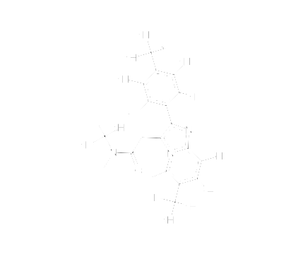 [2H]c1c([2H])c(C([2H])([2H])[2H])c([2H])c([2H])c1-c1nc2c([2H])c([2H])c(C([2H])([2H])[2H])c([2H])n2c1CC(=O)N(C)C([2H])([2H])[2H]